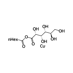 CCCCCCC(=O)OC(=O)[C@H](O)[C@@H](O)[C@H](O)[C@H](O)CO.[Cu]